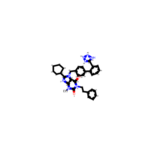 CCn1c(=O)n(CCc2ccccc2)c(=O)c2c1nc(C1CCCCC1)n2Cc1ccc(-c2ccccc2-c2nnn[nH]2)cc1